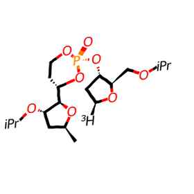 [3H][C@H]1C[C@H](O[P@@]2(=O)OCC[C@@H]([C@H]3O[C@@H](C)C[C@@H]3OC(C)C)O2)[C@@H](COC(C)C)O1